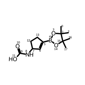 CC1(C)OB(C2=CC(NC(=O)O)CC2)OC1(C)C